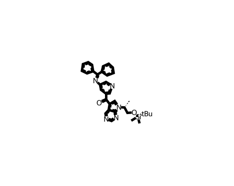 C[C@H](CO[Si](C)(C)C(C)(C)C)n1cc(C(=O)c2cncc(N=C(c3ccccc3)c3ccccc3)c2)c2cncnc21